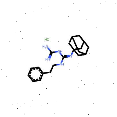 Cl.N=C(N)NC(=NC12CC3CC(CC(C3)C1)C2)NCCc1ccccc1